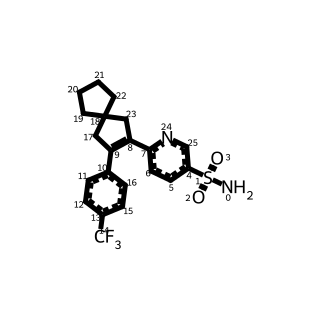 NS(=O)(=O)c1ccc(C2=C(c3ccc(C(F)(F)F)cc3)CC3(CCCC3)C2)nc1